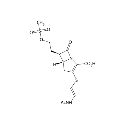 CC(=O)N/C=C/SC1=C(C(=O)O)N2C(=O)[C@H](CCOS(C)(=O)=O)[C@H]2C1